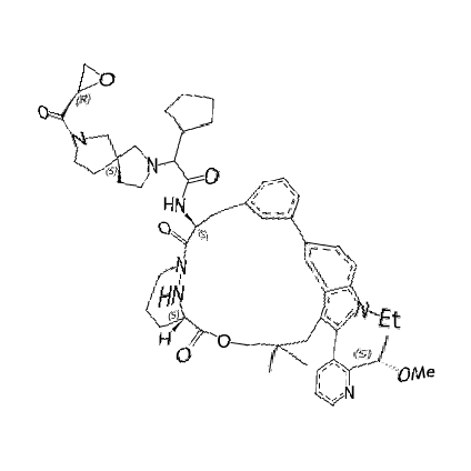 CCn1c(-c2cccnc2[C@H](C)OC)c2c3cc(ccc31)-c1cccc(c1)C[C@H](NC(=O)C(C1CCCC1)N1CC[C@]3(CCN(C(=O)[C@H]4CO4)C3)C1)C(=O)N1CCC[C@H](N1)C(=O)OCC(C)(C)C2